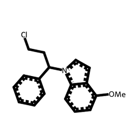 COc1cccc2c1ccn2C(CCCl)c1ccccc1